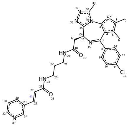 Cc1sc2c(c1C)C(c1ccc(Cl)cc1)=N[C@@H](CC(=O)NCCCNC(=O)/C=C/c1cccnc1)c1nnc(C)n1-2